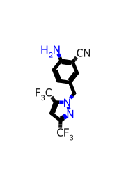 N#Cc1cc(Cn2nc(C(F)(F)F)cc2C(F)(F)F)ccc1N